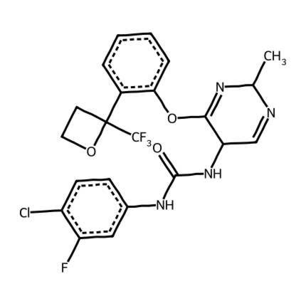 CC1N=CC(NC(=O)Nc2ccc(Cl)c(F)c2)C(Oc2ccccc2C2(C(F)(F)F)CCO2)=N1